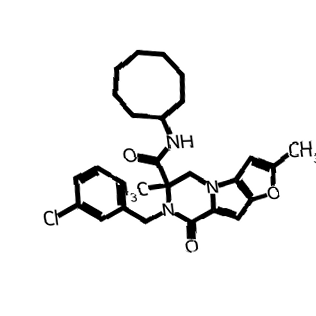 Cc1cc2c(cc3n2CC(C)(C(=O)NC2CCCCCCC2)N(Cc2cccc(Cl)c2)C3=O)o1